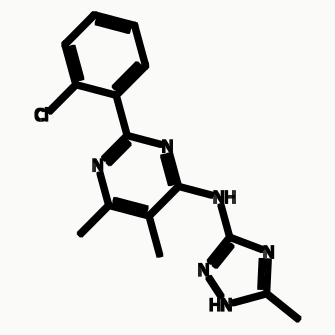 Cc1nc(Nc2nc(-c3ccccc3Cl)nc(C)c2C)n[nH]1